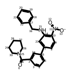 O=C(c1cccc(-c2ccc([N+](=O)[O-])c(NCc3ccccc3)c2)c1)N1CCCCC1